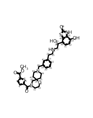 COC(=O)c1ccc(C(=O)N2CCOC3(CCN(Cc4cccc(CCNC[C@H](O)c5ccc(O)c6[nH]c(=O)sc56)c4)CC3)C2)s1